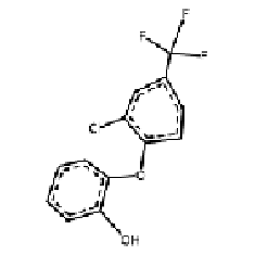 Oc1ccccc1Oc1ccc(C(F)(F)F)cc1Cl